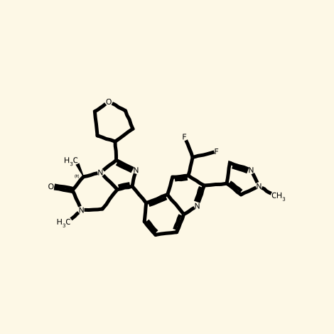 C[C@@H]1C(=O)N(C)Cc2c(-c3cccc4nc(-c5cnn(C)c5)c(C(F)F)cc34)nc(C3CCOCC3)n21